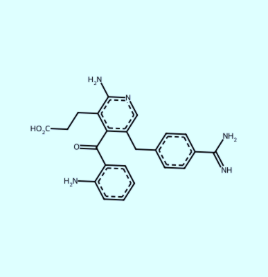 N=C(N)c1ccc(Cc2cnc(N)c(CCC(=O)O)c2C(=O)c2ccccc2N)cc1